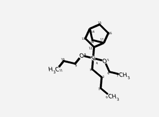 CCCC[Si](OCC)(OCCC)C1CC2CCC1C2